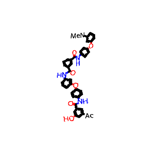 CNc1cccc(Oc2ccc(NC(=O)c3cccc(C(=O)Nc4cccc(Oc5ccc(NC(=O)c6cc(O)cc(C(C)=O)c6)cc5)c4)c3)cc2)c1